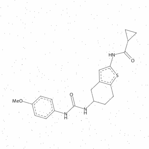 COc1ccc(NC(=O)NC2CCc3sc(NC(=O)C4CC4)cc3C2)cc1